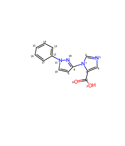 O=C(O)c1cncn1-c1ccn(-c2ccccc2)n1